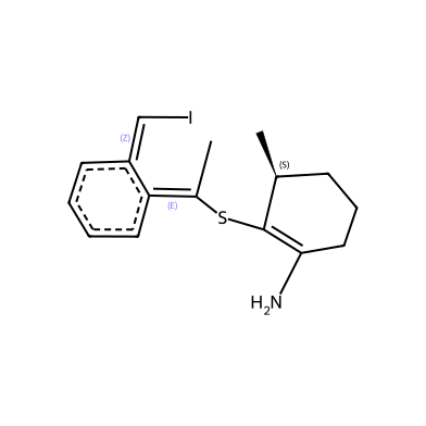 C/C(SC1=C(N)CCC[C@@H]1C)=c1/cccc/c1=C/I